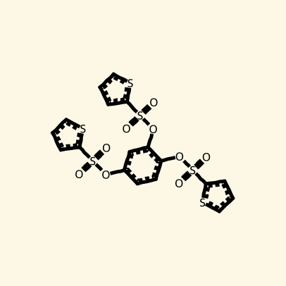 O=S(=O)(Oc1ccc(OS(=O)(=O)c2cccs2)c(OS(=O)(=O)c2cccs2)c1)c1cccs1